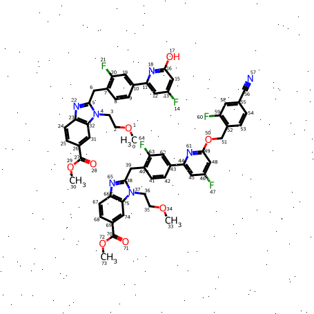 COCCn1c(Cc2ccc(-c3cc(F)cc(O)n3)cc2F)nc2ccc(C(=O)OC)cc21.COCCn1c(Cc2ccc(-c3cc(F)cc(OCc4ccc(C#N)cc4F)n3)cc2F)nc2ccc(C(=O)OC)cc21